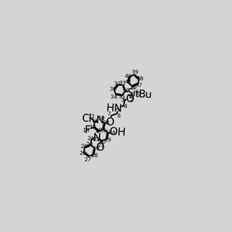 CC(C)(C)[Si](OCCNCCOc1nc(Cl)c(F)c2c1c(O)cc(=O)n2Cc1ccccc1)(c1ccccc1)c1ccccc1